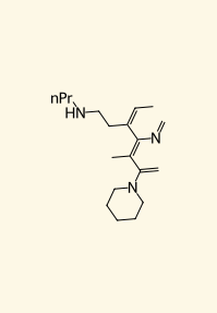 C=NC(/C(=C\C)CCNCCC)=C(/C)C(=C)N1CCCCC1